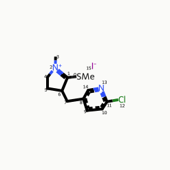 CSC1=[N+](C)CCC1Cc1ccc(Cl)nc1.[I-]